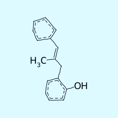 C/C(=C\c1ccccc1)Cc1ccccc1O